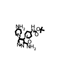 CC(C)(C)OC(=O)NC1CCN(c2c(N3CCC(N)CC3)cnnc2C(N)=O)CC1